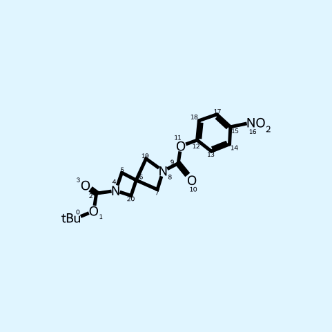 CC(C)(C)OC(=O)N1CC2(CN(C(=O)Oc3ccc([N+](=O)[O-])cc3)C2)C1